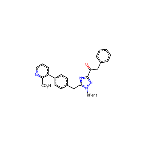 CCCCCn1nc(C(=O)Cc2ccccc2)nc1Cc1ccc(-c2cccnc2C(=O)O)cc1